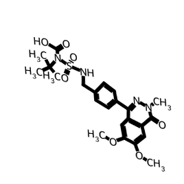 COc1cc2c(-c3ccc(CNS(=O)(=O)N(C(=O)O)C(C)(C)C)cc3)nn(C)c(=O)c2cc1OC